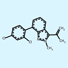 C=C(C)c1c2cccc(-c3ccc(Cl)cc3Cl)c2nn1C